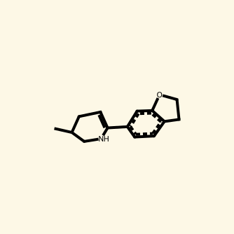 CC1CC=C(c2ccc3c(c2)OCC3)NC1